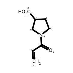 C=CC(=O)N1CCC(C(=O)O)C1